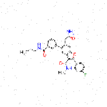 CCCNC(=O)c1cccc(-c2cc3c(C(=O)NC)c(-c4ccc(F)cc4)oc3cc2CC(N)=O)c1